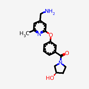 Cc1cc(CN)cc(Oc2cccc(C(=O)N3CC[C@@H](O)C3)c2)n1